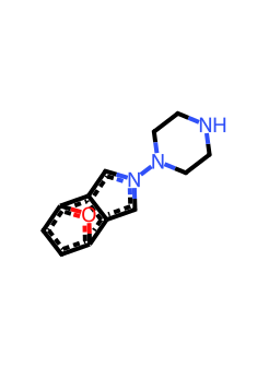 c1cc2oc1c1cn(N3CCNCC3)cc21